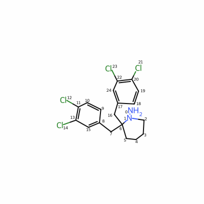 NN1CCCCC1(Cc1ccc(Cl)c(Cl)c1)Cc1ccc(Cl)c(Cl)c1